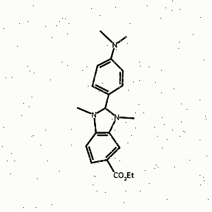 CCOC(=O)c1ccc2c(c1)N(C)C(c1ccc(N(C)C)cc1)N2C